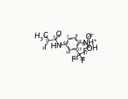 CC(I)C(=O)Nc1ccc([NH+]([O-])O)c(C(F)(F)F)c1